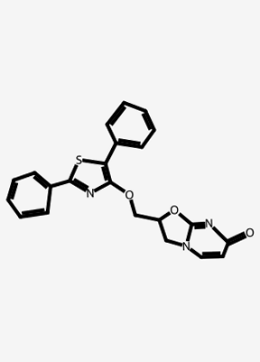 O=c1ccn2c(n1)OC(COc1nc(-c3ccccc3)sc1-c1ccccc1)C2